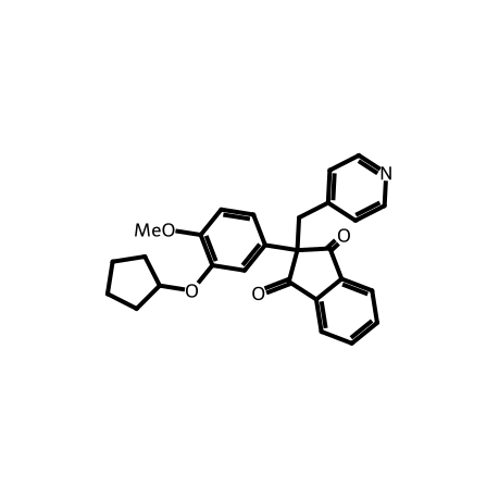 COc1ccc(C2(Cc3ccncc3)C(=O)c3ccccc3C2=O)cc1OC1CCCC1